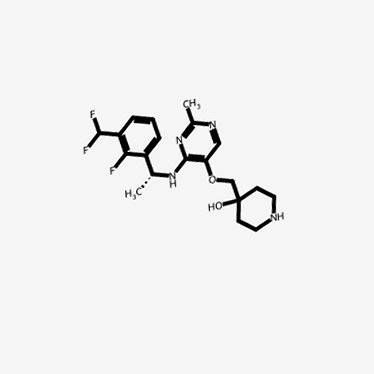 Cc1ncc(OCC2(O)CCNCC2)c(N[C@H](C)c2cccc(C(F)F)c2F)n1